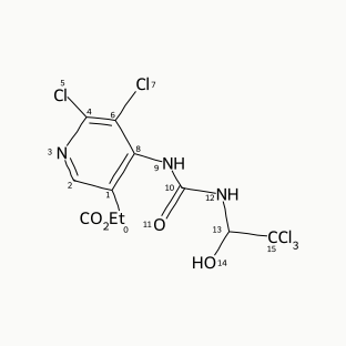 CCOC(=O)c1cnc(Cl)c(Cl)c1NC(=O)NC(O)C(Cl)(Cl)Cl